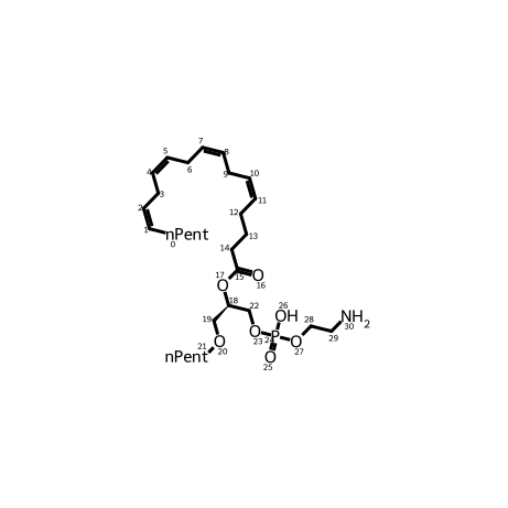 CCCCC/C=C\C/C=C\C/C=C\C/C=C\CCCC(=O)O[C@H](CO[14CH2]CCCC)COP(=O)(O)OCCN